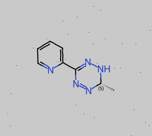 C[C@@H]1N=NC(c2ccccn2)=NN1